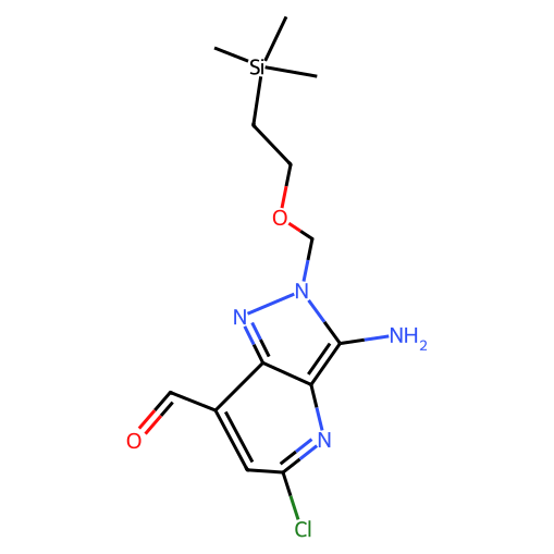 C[Si](C)(C)CCOCn1nc2c(C=O)cc(Cl)nc2c1N